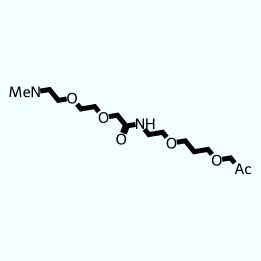 CNCCOCCOCC(=O)NCCOCCCOCC(C)=O